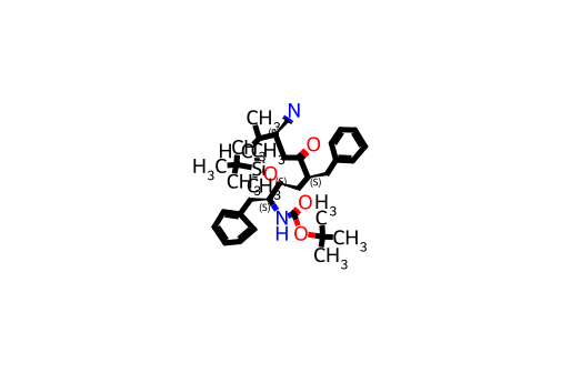 CC(C)[C@@H](C#N)CC(=O)[C@@H](Cc1ccccc1)C[C@H](O[Si](C)(C)C(C)(C)C)[C@H](Cc1ccccc1)NC(=O)OC(C)(C)C